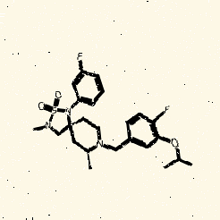 CC(C)Oc1cc(CN2CC[C@@]3(C[C@@H]2C)CN(C)S(=O)(=O)N3c2cccc(F)c2)ccc1F